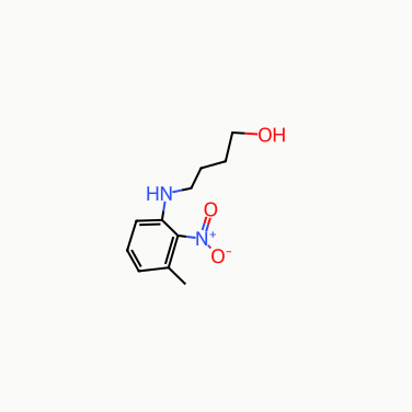 Cc1cccc(NCCCCO)c1[N+](=O)[O-]